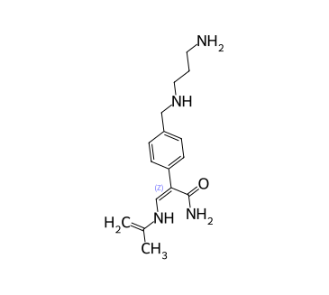 C=C(C)N/C=C(\C(N)=O)c1ccc(CNCCCN)cc1